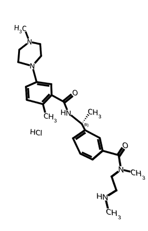 CNCCN(C)C(=O)c1cccc([C@@H](C)NC(=O)c2cc(N3CCN(C)CC3)ccc2C)c1.Cl